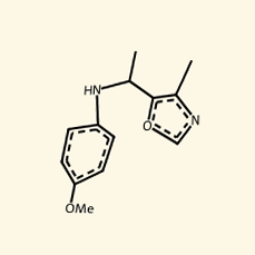 COc1ccc(NC(C)c2ocnc2C)cc1